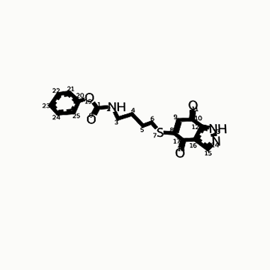 O=C(NCCCCSC1=CC(=O)c2[nH]ncc2C1=O)Oc1ccccc1